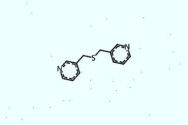 c1cncc(CSCc2cccnc2)c1